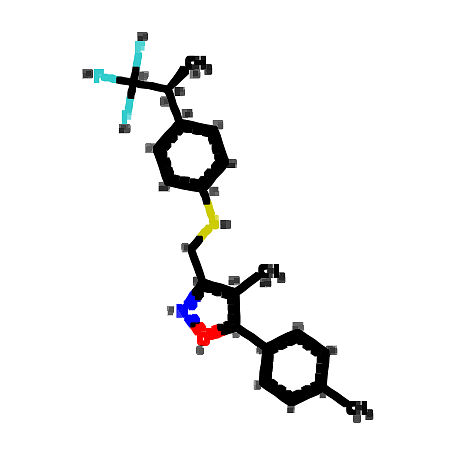 Cc1ccc(-c2onc(CSc3ccc([C@H](C)C(F)(F)F)cc3)c2C)cc1